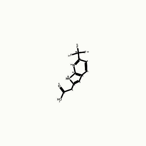 O=C(O)Cc1cc2ccc(C(F)(F)F)nc2[nH]1